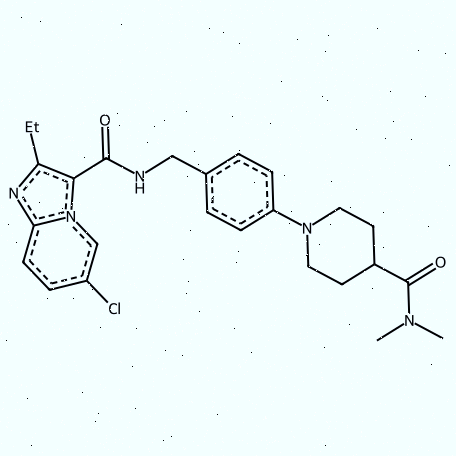 CCc1nc2ccc(Cl)cn2c1C(=O)NCc1ccc(N2CCC(C(=O)N(C)C)CC2)cc1